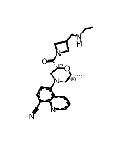 CCNCC1CN(C(=O)[C@H]2CN(c3ccc(C#N)c4ncccc34)C[C@@H](C)O2)C1